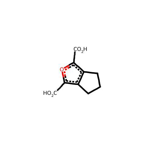 O=C(O)c1oc(C(=O)O)c2c1CCC2